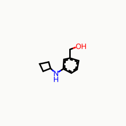 OCc1cccc(NC2CCC2)c1